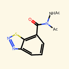 CC(=O)NN(C(C)=O)C(=O)c1cccc2nnsc12